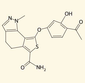 CC(=O)c1ccc(Oc2sc(C(N)=O)c3c2-c2c(cnn2C)CC3)cc1O